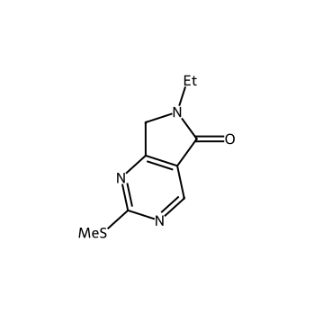 CCN1Cc2nc(SC)ncc2C1=O